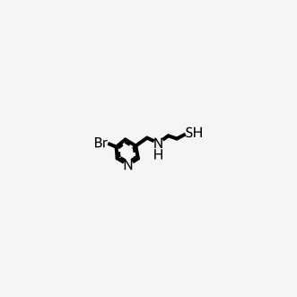 SCCNCc1cncc(Br)c1